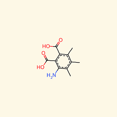 Cc1c(C)c(N)c(C(=O)O)c(C(=O)O)c1C